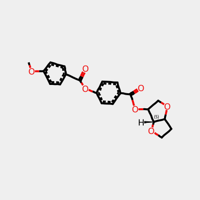 COc1ccc(C(=O)Oc2ccc(C(=O)OC3COC4CCO[C@@H]43)cc2)cc1